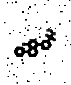 CCCCNS(=O)(=O)c1cncc(-c2nnc(Cl)c3c(-c4ccccc4)cccc23)c1